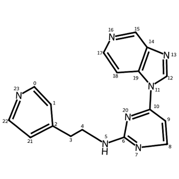 c1cc(CCNc2nccc(-n3cnc4cnccc43)n2)ccn1